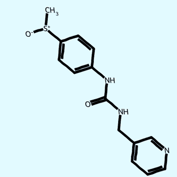 C[S+]([O-])c1ccc(NC(=O)NCc2cccnc2)cc1